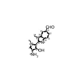 Cn1cc(N)c(O)c1-c1nc2ccc(C=O)cc2n1C